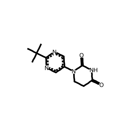 CC(C)(C)c1ncc(N2CCC(=O)NC2=O)cn1